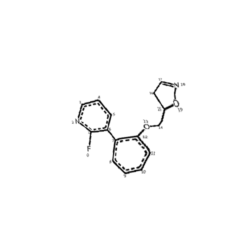 Fc1ncccc1-c1ccccc1OCC1C[C]=NO1